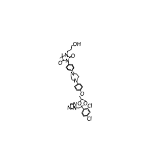 CC1(C)C(=O)N(c2ccc(N3CCN(c4ccc(OCC5COC(Cn6cncn6)(c6ccc(Cl)cc6Cl)O5)cc4)CC3)cc2)C(=O)N1CCCO